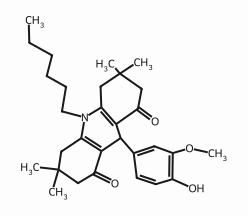 CCCCCCN1C2=C(C(=O)CC(C)(C)C2)C(c2ccc(O)c(OC)c2)C2=C1CC(C)(C)CC2=O